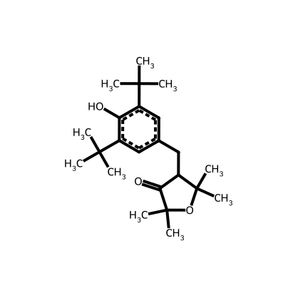 CC1(C)OC(C)(C)C(Cc2cc(C(C)(C)C)c(O)c(C(C)(C)C)c2)C1=O